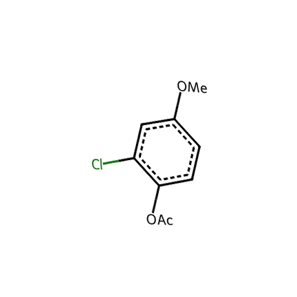 COc1ccc(OC(C)=O)c(Cl)c1